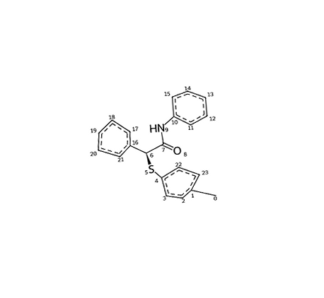 Cc1ccc(S[C@H](C(=O)Nc2ccccc2)c2ccccc2)cc1